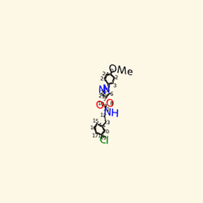 COc1ccc(-n2cc(OC(=O)NCCc3cccc(Cl)c3)cn2)cc1